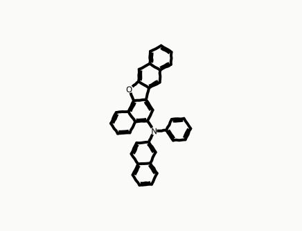 c1ccc(N(c2ccc3ccccc3c2)c2cc3c4cc5ccccc5cc4oc3c3ccccc23)cc1